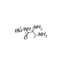 CC(C)(C)NC(=O)C(N)CN